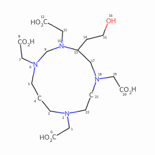 O=C(O)CN1CCCN(CC(=O)O)CN(CC(=O)O)C(CCO)CN(CC(=O)O)CC1